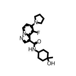 CC1(O)CCC(NC(=O)c2cnn3ccc(N4CCCC4)c(F)c23)CC1